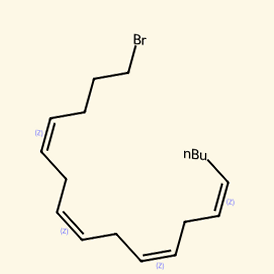 CCCC/C=C\C/C=C\C/C=C\C/C=C\CCCBr